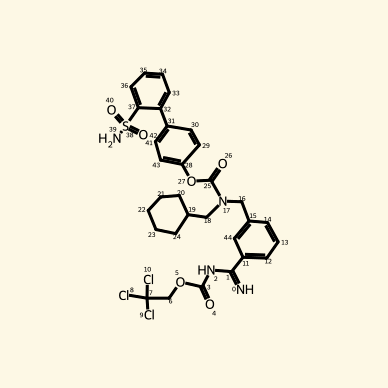 N=C(NC(=O)OCC(Cl)(Cl)Cl)c1cccc(CN(CC2CCCCC2)C(=O)Oc2ccc(-c3ccccc3S(N)(=O)=O)cc2)c1